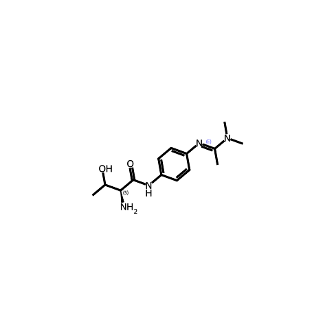 C/C(=N\c1ccc(NC(=O)[C@@H](N)C(C)O)cc1)N(C)C